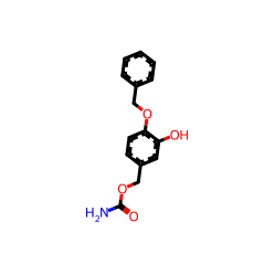 NC(=O)OCc1ccc(OCc2ccccc2)c(O)c1